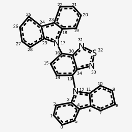 c1ccc2c(c1)c1ccccc1n2-c1ccc(-n2c3ccccc3c3ccccc32)c2nsnc12